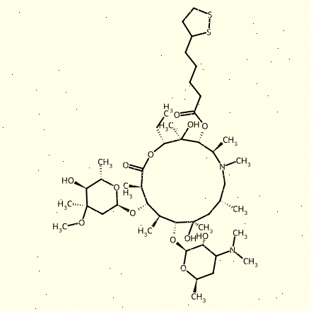 CC[C@H]1OC(=O)[C@H](C)[C@@H](O[C@H]2C[C@@](C)(OC)[C@@H](O)[C@H](C)O2)[C@H](C)[C@@H](O[C@@H]2O[C@H](C)CC(N(C)C)[C@H]2O)[C@](C)(O)C[C@@H](C)CN(C)[C@H](C)[C@@H](OC(=O)CCCCC2CCSS2)[C@]1(C)O